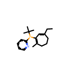 CCC1=CC(P(c2ccccn2)C(C)(C)C)=C(C)CCC1